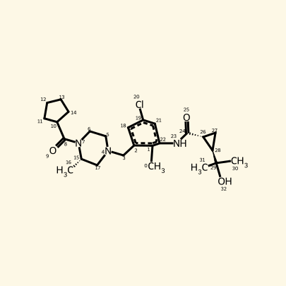 Cc1c(CN2CCN(C(=O)C3CCCC3)[C@@H](C)C2)cc(Cl)cc1NC(=O)[C@@H]1C[C@H]1C(C)(C)O